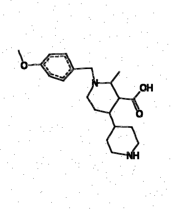 COc1ccc(CN2CCC(C3CCNCC3)C(C(=O)O)C2C)cc1